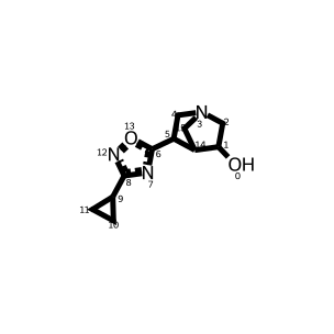 OC1CN2CC(c3nc(C4CC4)no3)C1C2